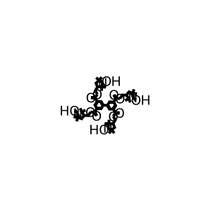 CC1(C)CC(COC(=O)c2cc(C(=O)OCC3CC(C)(C)N(O)C3(C)C)cc(-c3cc(C(=O)OCC4CC(C)(C)N(O)C4(C)C)cc(C(=O)OCC4CC(C)(C)N(O)C4(C)C)c3)c2)C(C)(C)N1O